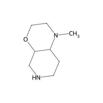 CN1CCOC2CNCCC21